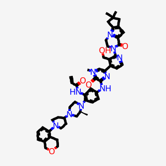 C=CC(=O)Nc1cc(Nc2nc(-c3ccnc(N4CCn5c(cc6c5CC(C)(C)C6)C4=O)c3CO)cn(C)c2=O)ccc1N1CCN(C2CCN(c3cccc4c3CCOC4)CC2)C[C@@H]1C